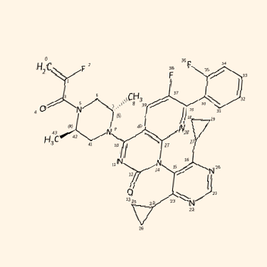 C=C(F)C(=O)N1C[C@H](C)N(c2nc(=O)n(-c3c(C4CC4)ncnc3C3CC3)c3nc(-c4ccccc4F)c(F)cc23)C[C@H]1C